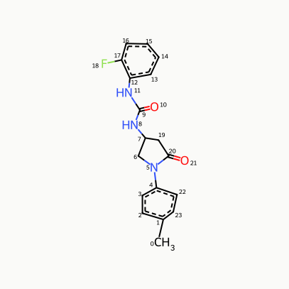 Cc1ccc(N2CC(NC(=O)Nc3ccccc3F)CC2=O)cc1